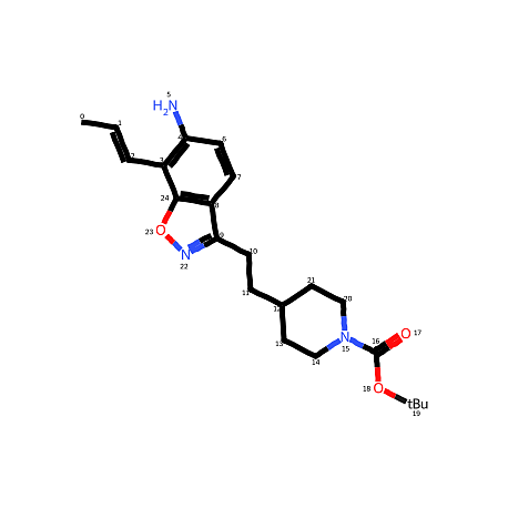 C/C=C/c1c(N)ccc2c(CCC3CCN(C(=O)OC(C)(C)C)CC3)noc12